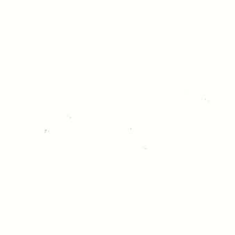 CC(=O)Nc1nc2ccc(-c3ccnc(CCc4ccc5ncccc5c4)n3)cc2s1